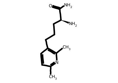 Cc1ccc(CCC[C@H](N)C(N)=O)c(C)n1